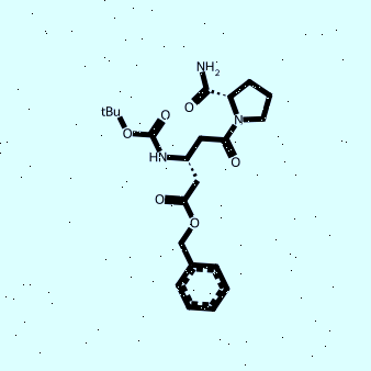 CC(C)(C)OC(=O)N[C@@H](CC(=O)OCc1ccccc1)CC(=O)N1CCC[C@H]1C(N)=O